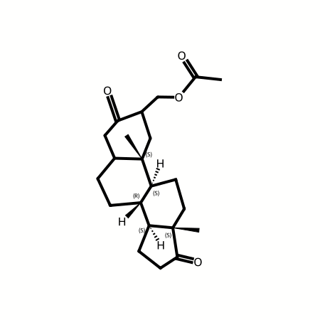 CC(=O)OCC1C[C@@]2(C)C(CC[C@@H]3[C@@H]2CC[C@]2(C)C(=O)CC[C@@H]32)CC1=O